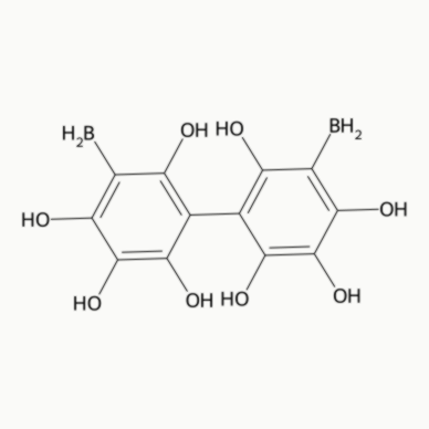 Bc1c(O)c(O)c(O)c(-c2c(O)c(B)c(O)c(O)c2O)c1O